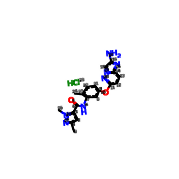 Cc1cc(C(=O)Nc2cc(Oc3ccc4nc(N)cn4n3)ccc2C)n(C)n1.Cl